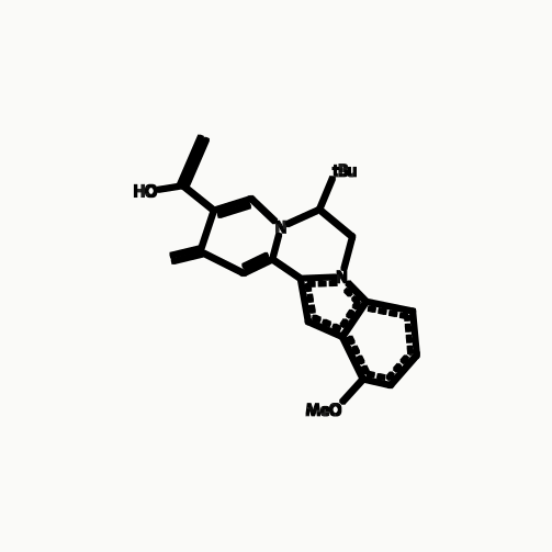 C=C(O)C1=CN2C(=CC1=C)c1cc3c(OC)cccc3n1CC2C(C)(C)C